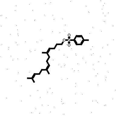 CC(C)=CCCC(C)=CCCC(C)=CCCCOS(=O)(=O)c1ccc(C)cc1